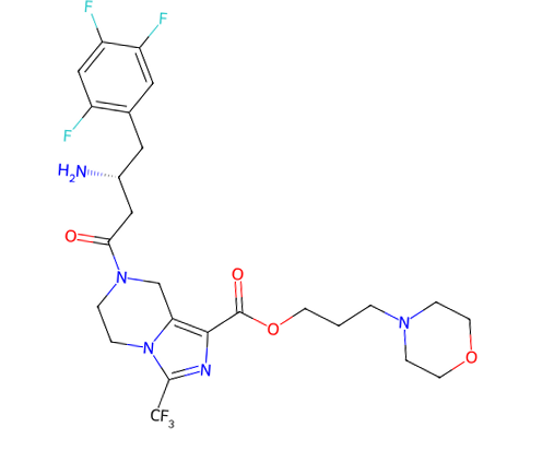 N[C@@H](CC(=O)N1CCn2c(C(F)(F)F)nc(C(=O)OCCCN3CCOCC3)c2C1)Cc1cc(F)c(F)cc1F